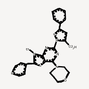 CCn1c(-c2ccncc2)nc2c(N3CCOCC3)nc(-n3nc(-c4ccccc4)cc3C(=O)O)nc21